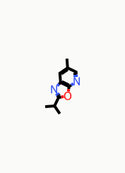 Cc1cnc2oc(C(C)C)nc2c1